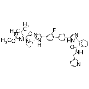 COC(=O)N[C@H](C(=O)N1CCC[C@H]1c1ncc(-c2ccc(-c3ccc(-c4cnc(C5C6CCC(C6)[C@@H]5C(=O)NCc5cccnc5)[nH]4)cc3)c(F)c2)[nH]1)C(C)C